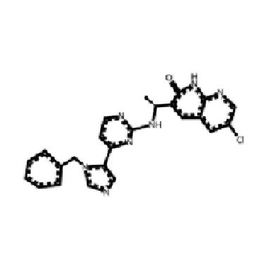 C[C@H](Nc1nccc(-c2cncn2Cc2ccccc2)n1)c1cc2cc(Cl)cnc2[nH]c1=O